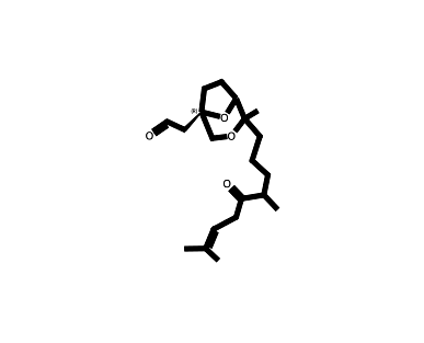 CC(C)=CCC(=O)C(C)CCCC1(C)OC[C@]2(CC=O)CCC1O2